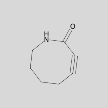 O=C1C#CCCCCN1